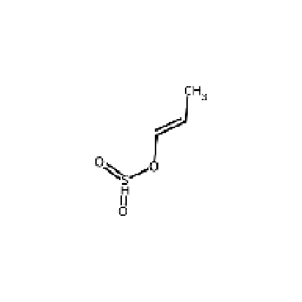 CC=CO[SH](=O)=O